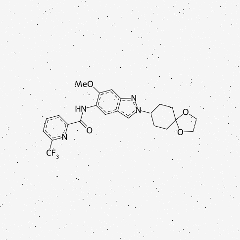 COc1cc2nn(C3CCC4(CC3)OCCO4)cc2cc1NC(=O)c1cccc(C(F)(F)F)n1